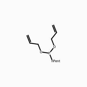 C=CCOP(CCCCC)OCC=C